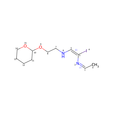 C/C=N\C(I)=C/NCCOC1CCCCO1